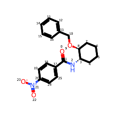 O=C(N[C@H]1CCCC[C@@H]1OCc1ccccc1)c1ccc([N+](=O)[O-])cc1